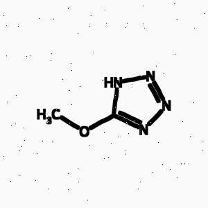 COc1nnn[nH]1